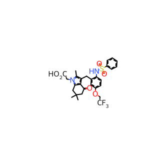 Cc1c(Cc2cc(OCC(F)(F)F)ccc2NS(=O)(=O)c2ccccc2)c2c(n1CC(=O)O)CC(C)(C)CC2=O